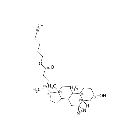 C#CCCCCOC(=O)CC[C@@H](C)[C@H]1CCC2C3CC4(N=N4)[C@H]4C[C@@H](O)CC[C@]4(C)C3CC[C@@]21C